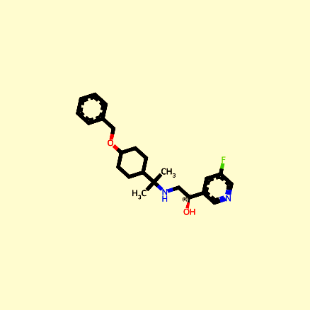 CC(C)(NC[C@H](O)c1cncc(F)c1)C1CCC(OCc2ccccc2)CC1